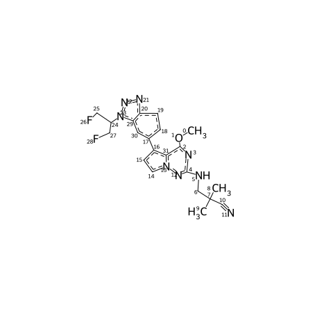 COc1nc(NCC(C)(C)C#N)nn2ccc(-c3ccc4nnn(C(CF)CF)c4c3)c12